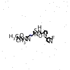 CN(C)C(=O)Cn1cnc(/C=C/c2csc(NC(=O)c3cccn3Cc3ccnc(F)c3)n2)c1